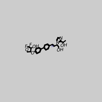 CC(O)c1nccn1C(/C=C/c1ccc(-c2ccc(OC3COC(F)(F)C3O)cc2)cc1)CO